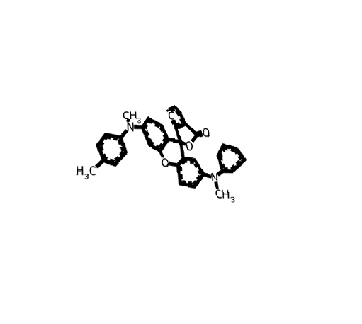 Cc1ccc(N(C)c2ccc3c(c2)Oc2ccc(N(C)c4ccccc4)cc2C32OC(=O)c3ccccc32)cc1